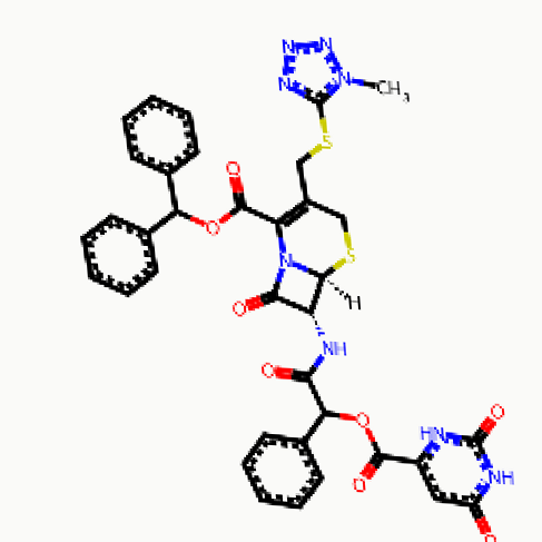 Cn1nnnc1SCC1=C(C(=O)OC(c2ccccc2)c2ccccc2)N2C(=O)[C@@H](NC(=O)C(OC(=O)c3cc(=O)[nH]c(=O)[nH]3)c3ccccc3)[C@@H]2SC1